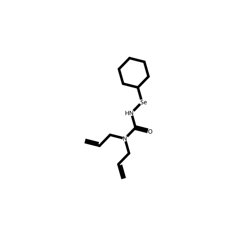 C=CCN(CC=C)C(=O)N[Se]C1CCCCC1